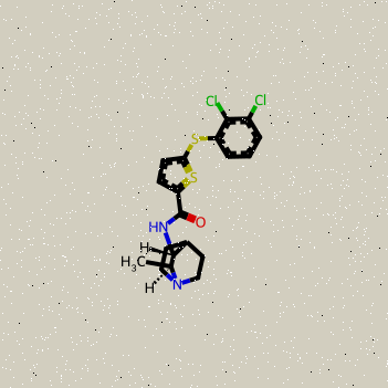 C[C@H]1[C@H](NC(=O)c2ccc(Sc3cccc(Cl)c3Cl)s2)C2CCN1CC2